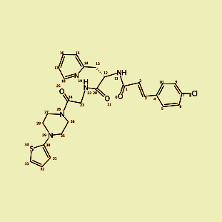 O=C(/C=C/c1ccc(Cl)cc1)N[C@@H](Cc1ccccn1)C(=O)NCC(=O)N1CCN(c2cccs2)CC1